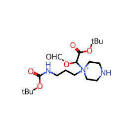 CC(C)(C)OC(=O)NCCC[N+]1(C(OC=O)C(=O)OC(C)(C)C)CCNCC1